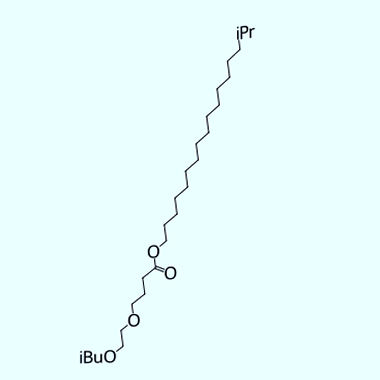 CC(C)CCCCCCCCCCCCCCCOC(=O)CCCOCCOCC(C)C